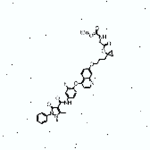 Cc1c(C(=O)Nc2ccc(Oc3ccnc4cc(OCCCC5(OC(=O)CNC(=O)OC(C)(C)C)CC5)ccc34)c(F)c2)c(=O)n(-c2ccccc2)n1C